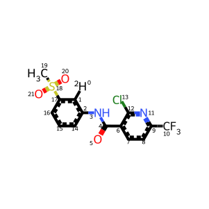 [2H]c1c(NC(=O)c2ccc(C(F)(F)F)nc2Cl)cccc1S(C)(=O)=O